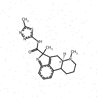 Cc1nnc(NC(=O)C2(C)N=c3cccc4c3=C2C[C@@H]2C4CCCN2C)s1